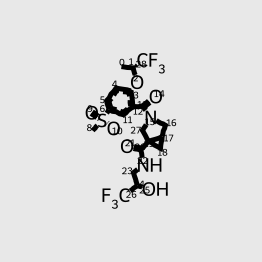 C[C@H](Oc1ccc(S(C)(=O)=O)cc1C(=O)N1CC2CC2(C(=O)NCC(O)C(F)(F)F)C1)C(F)(F)F